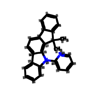 CC1(C)c2ccccc2-c2ccc3c4ccccc4n(-c4ccccn4)c3c21